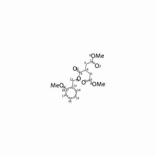 COC(=O)CC(CC(=O)OC)C(=O)OCc1ccccc1OC